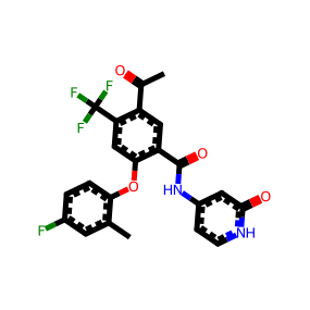 CC(=O)c1cc(C(=O)Nc2cc[nH]c(=O)c2)c(Oc2ccc(F)cc2C)cc1C(F)(F)F